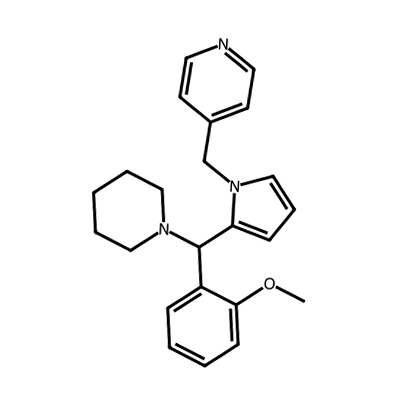 COc1ccccc1C(c1cccn1Cc1ccncc1)N1CCCCC1